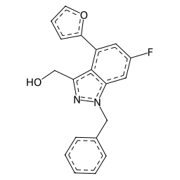 OCc1nn(Cc2ccccc2)c2cc(F)cc(-c3ccco3)c12